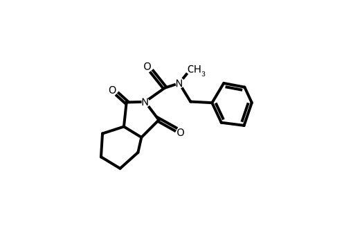 CN(Cc1ccccc1)C(=O)N1C(=O)C2CCCCC2C1=O